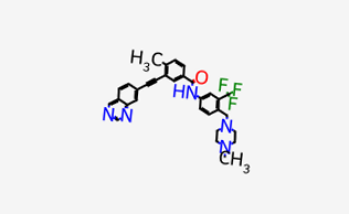 Cc1ccc(C(=O)Nc2ccc(CN3CCN(C)CC3)c(C(F)(F)F)c2)cc1C#Cc1ccc2cncnc2c1